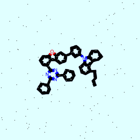 C=C/C=C\c1cccc2c1c1ccccc1n2-c1cccc(-c2ccc3c(c2)oc2cccc(-c4nc(-c5ccccc5)nc(-c5ccccc5)n4)c23)c1